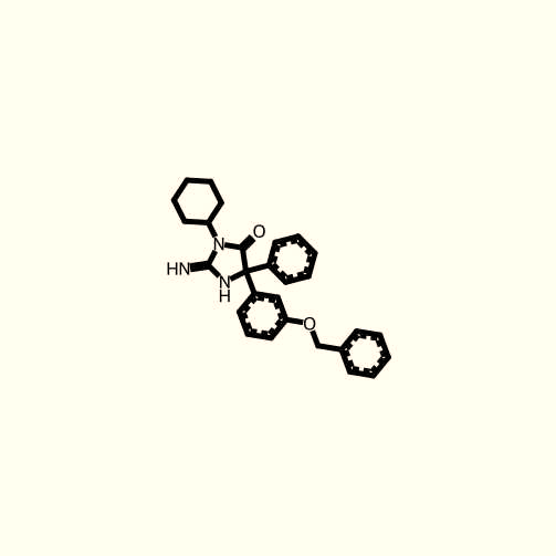 N=C1NC(c2ccccc2)(c2cccc(OCc3ccccc3)c2)C(=O)N1C1CCCCC1